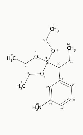 CCO[Si](OCC)(OCC)C(CC)c1cccc(N)c1